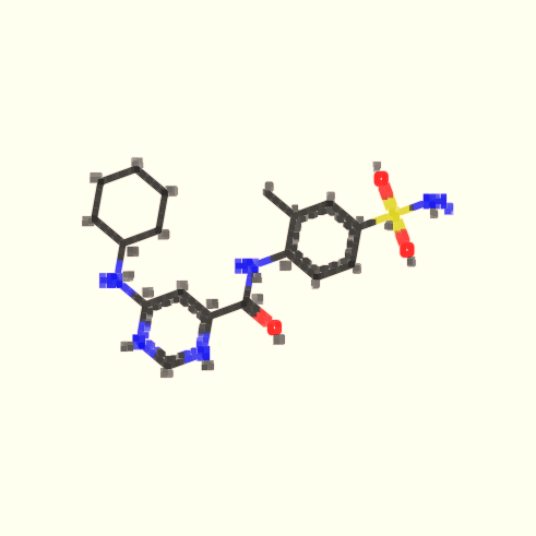 Cc1cc(S(N)(=O)=O)ccc1NC(=O)c1cc(NC2CCCCC2)ncn1